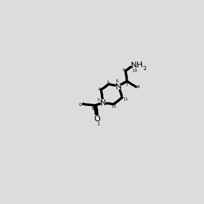 CC(=O)N1CCN(C(C)CN)CC1